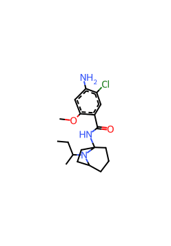 CCC(C)N1C2CCCC1(NC(=O)c1cc(Cl)c(N)cc1OC)CC2